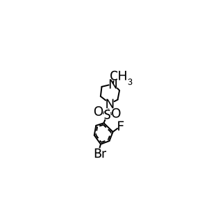 CN1CCN(S(=O)(=O)c2ccc(Br)cc2F)CC1